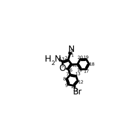 N#Cc1c(N)oc(-c2ccc(Br)cc2)c1-c1ccccc1